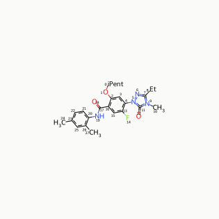 CCCC(C)Oc1cc(-n2nc(CC)n(C)c2=O)c(F)cc1C(=O)Nc1ccc(C)cc1C